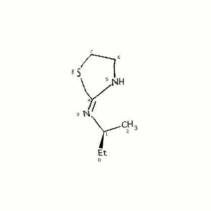 CC[C@H](C)/N=C1\NCCS1